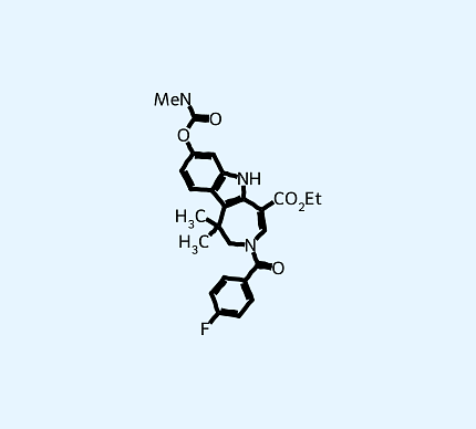 CCOC(=O)C1=CN(C(=O)c2ccc(F)cc2)CC(C)(C)c2c1[nH]c1cc(OC(=O)NC)ccc21